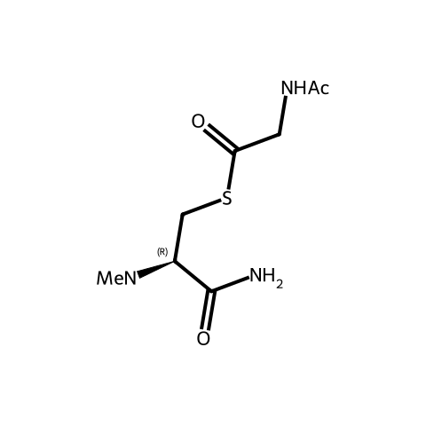 CN[C@@H](CSC(=O)CNC(C)=O)C(N)=O